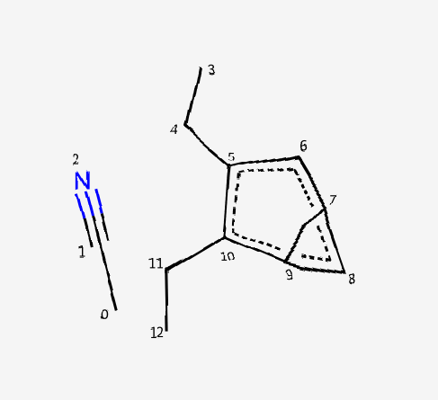 CC#N.CCc1cc2cc-2c1CC